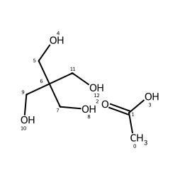 CC(=O)O.OCC(CO)(CO)CO